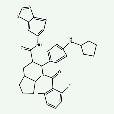 Cc1cccc(F)c1C(=O)N1C2CCCC2CC(C(=O)Nc2ccc3ncsc3c2)C1c1ccc(NC2CCCC2)cc1